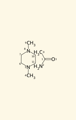 CC(N)=O.CN1CCN(C)CC1